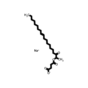 CCCCCCCCC=CCCCCCCCC(=O)C(C)OC(=O)CCC(=O)[O-].[Na+]